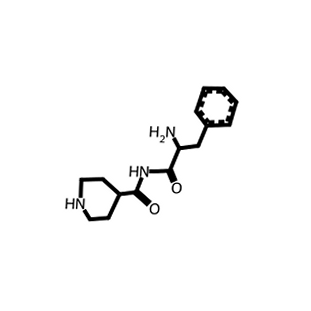 NC(Cc1ccccc1)C(=O)NC(=O)C1CCNCC1